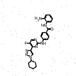 Nc1ccccc1NC(=O)c1ccc(Nc2ncc(F)c(-c3cn(C4CCCCC4)nn3)n2)cc1